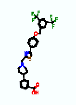 O=C(O)c1cccc(C2CCN(Cc3nc(-c4ccc(OCc5cc(C(F)(F)F)cc(C(F)(F)F)c5)cc4)cs3)CC2)c1